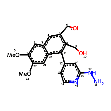 COc1cc2cc(CO)c(CO)c(-c3ccnc(NN)c3)c2cc1OC